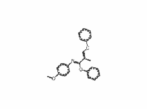 COc1ccc(N=C(Oc2ccccc2)C(C)=COc2ccccc2)cc1